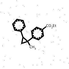 CCOC(=O)c1ccc(C2(C)CC2c2ccccc2)cc1